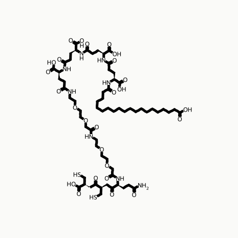 NC(=O)CC[C@H](NC(=O)COCCOCCNC(=O)COCCOCCNC(=O)CC[C@H](NC(=O)CC[C@H](NC(=O)CC[C@H](NC(=O)CC[C@H](NC(=O)CCCCCCCCCCCCCCCCCCC(=O)O)C(=O)O)C(=O)O)C(=O)O)C(=O)O)C(=O)C[C@@H](CS)C(=O)C[C@@H](CS)C(=O)O